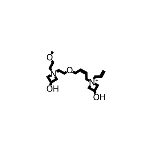 C=CC[N+]1(C/C=C\COCC[N+]2(CCOC)CC(O)C2)CC(O)C1